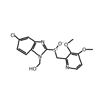 COc1ccnc(C[S+]([O-])c2nc3cc(Cl)ccc3n2CO)c1OC